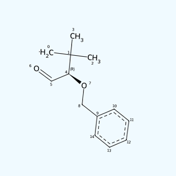 [CH2]C(C)(C)[C@H](C=O)OCc1ccccc1